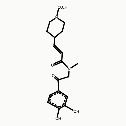 CN(CC(=O)c1ccc(O)c(O)c1)C(=O)/C=C/C1CCN(C(=O)O)CC1